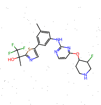 Cc1cc(Nc2nccc(OC3CCNCC3F)n2)cc(-c2cnc(C(C)(O)C(F)(F)F)s2)c1